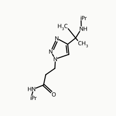 CC(C)NC(=O)CCn1cc(C(C)(C)NC(C)C)nn1